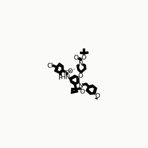 COc1ccc(CN2C(=O)C3(CCC3)c3cc(N[S@@+]([O-])c4ccc(Cl)cc4F)cc(OC4CCN(C(=O)OC(C)(C)C)CC4)c32)cc1